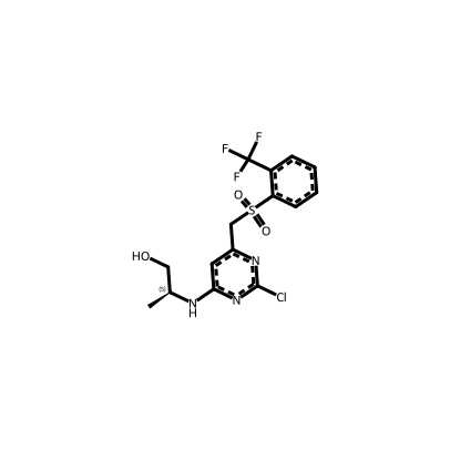 C[C@@H](CO)Nc1cc(CS(=O)(=O)c2ccccc2C(F)(F)F)nc(Cl)n1